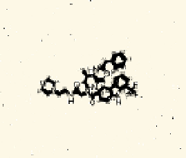 C=C(N[C@]1(C(=O)NCC(=O)NCCN2CCOCC2)CCc2[nH]c3c(C(F)(F)F)cccc3c2C1)[C@@H](NC(=O)Cc1ccccc1F)C(C)CC